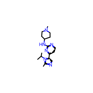 Cc1ncc(-c2ccnc(NC3CCN(C)CC3)n2)n1C(C)C